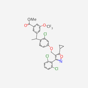 COC(=O)c1cc(OC(F)(F)F)cc(C(C)c2ccc(OCc3c(-c4c(Cl)cccc4Cl)noc3C3CC3)cc2Cl)c1